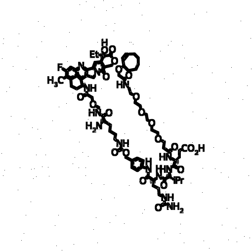 CC[C@@]1(O)C(=O)OCc2c1cc1n(c2=O)Cc2c-1nc1cc(F)c(C)c3c1c2[C@@H](NC(=O)COCNC(=O)[C@@H](N)CCCCNC(=O)OCc1ccc(NC(=O)[C@H](CCCNC(N)=O)NC(=O)[C@@H](NC(=O)[C@H](CCC(=O)O)NC(=O)CCOCCOCCOCCOCCNC(=O)COC2C#CCCCCC2)C(C)C)cc1)CC3